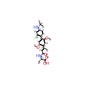 COc1cc(-c2ccc(NC(C)C)cc2F)c(OC)cc1/C(C)=C/C(=O)N[C@H](C)C(=O)O